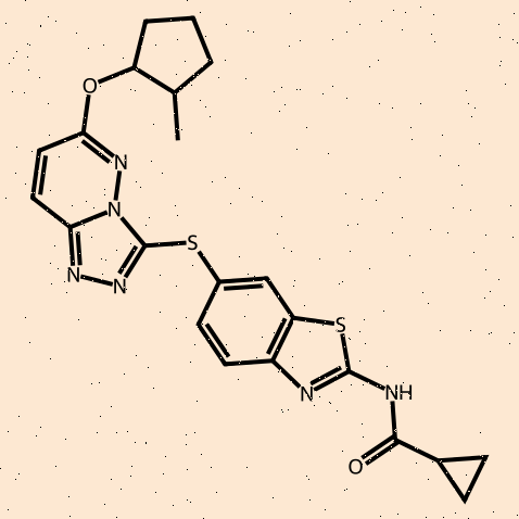 CC1CCCC1Oc1ccc2nnc(Sc3ccc4nc(NC(=O)C5CC5)sc4c3)n2n1